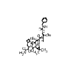 CC1(C)C2CN(C(=O)[C@@H](NC(=O)N[C@H](COC(=O)NCc3ccccc3)C(C)(C)C)C(C)(C)C)[C@H](C(=O)NC(CC3CCC3)C(=O)C(N)=O)C21